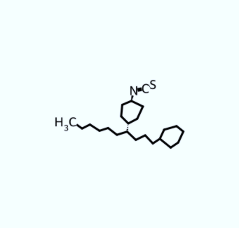 CCCCCCC(CCCC1CCCCC1)[C@H]1CC[C@H](N=C=S)CC1